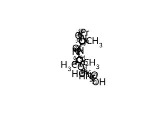 Cc1cc(-c2nc(-c3cc(C)c(OC[C@@H](O)CNC(=O)CO)c(C)c3)no2)cc(OC(C)C)n1